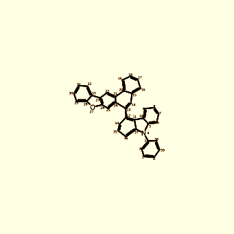 c1ccc(-n2c3ccccc3c3c(-c4cc5ccccc5c5cc6c(cc45)oc4ccccc46)cccc32)cc1